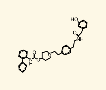 O=C(Cc1cccc(O)c1)NCCc1ccc(CCN2CCC(OC(=O)Nc3ccccc3-c3ccccc3)CC2)cc1